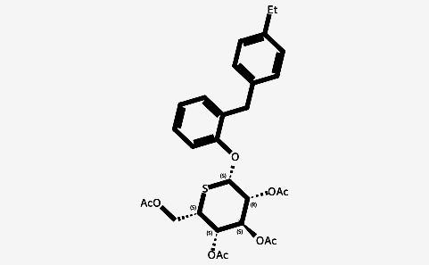 CCc1ccc(Cc2ccccc2O[C@H]2S[C@@H](COC(C)=O)[C@@H](OC(C)=O)[C@H](OC(C)=O)[C@H]2OC(C)=O)cc1